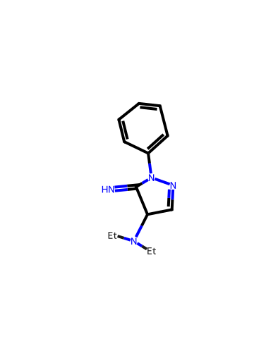 CCN(CC)C1C=NN(c2ccccc2)C1=N